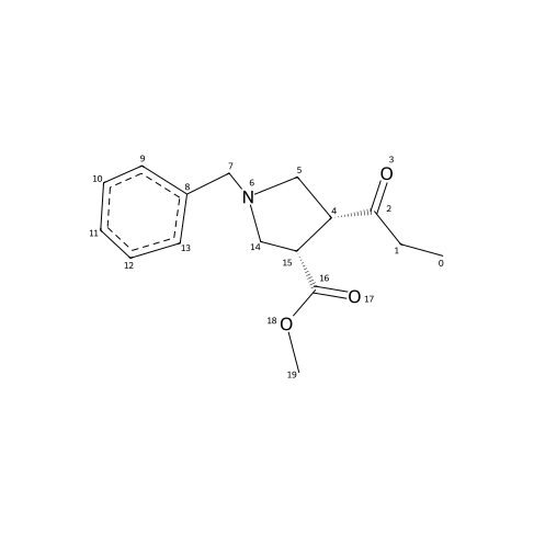 CCC(=O)[C@H]1CN(Cc2ccccc2)C[C@H]1C(=O)OC